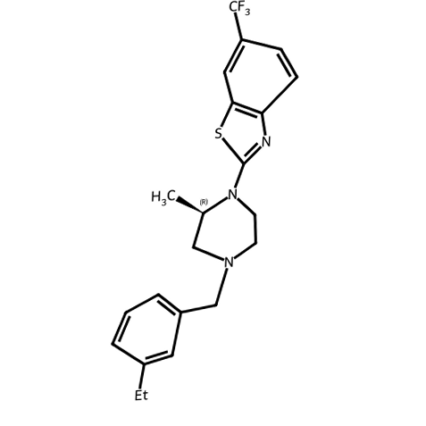 CCc1cccc(CN2CCN(c3nc4ccc(C(F)(F)F)cc4s3)[C@H](C)C2)c1